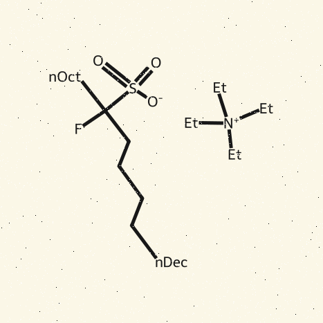 CCCCCCCCCCCCCCC(F)(CCCCCCCC)S(=O)(=O)[O-].CC[N+](CC)(CC)CC